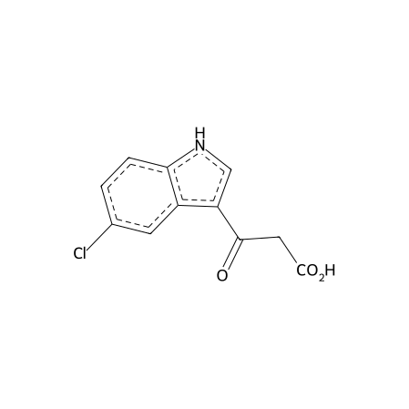 O=C(O)CC(=O)c1c[nH]c2ccc(Cl)cc12